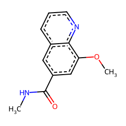 CNC(=O)c1cc(OC)c2ncccc2c1